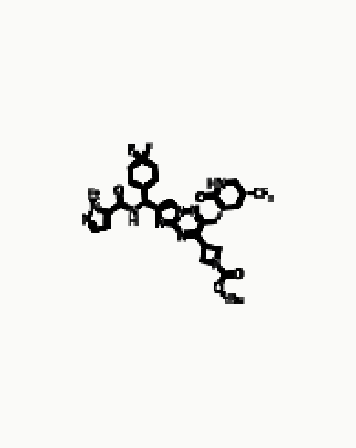 CCn1nccc1C(=O)N[C@H](c1cn2nc(C[C@H]3C[C@@H](C(F)(F)F)CNC3=O)c(C3CN(C(=O)OC(C)(C)C)C3)nc2n1)C1CCC(F)(F)CC1